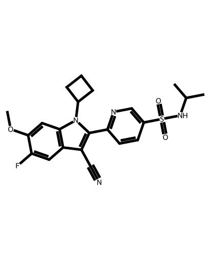 COc1cc2c(cc1F)c(C#N)c(-c1ccc(S(=O)(=O)NC(C)C)cn1)n2C1CCC1